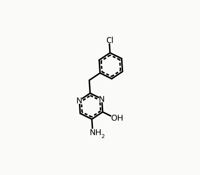 Nc1cnc(Cc2cccc(Cl)c2)nc1O